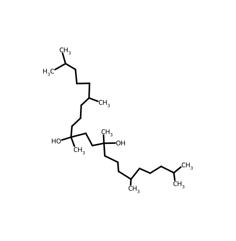 CC(C)CCCC(C)CCCC(C)(O)CCC(C)(O)CCCC(C)CCCC(C)C